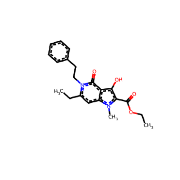 CCOC(=O)c1c(O)c2c(=O)n(CCc3ccccc3)c(CC)cc2n1C